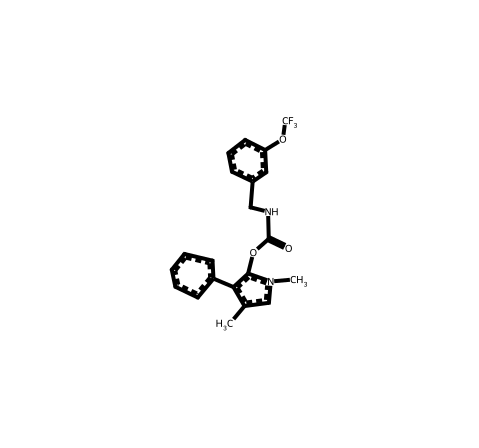 Cc1cn(C)c(OC(=O)NCc2cccc(OC(F)(F)F)c2)c1-c1ccccc1